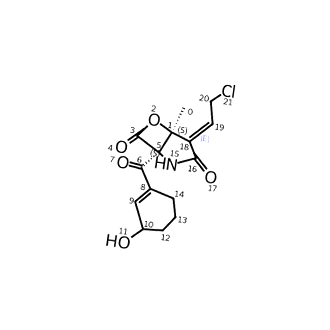 C[C@@]12OC(=O)[C@]1(C(=O)C1=CC(O)CCC1)NC(=O)/C2=C/CCl